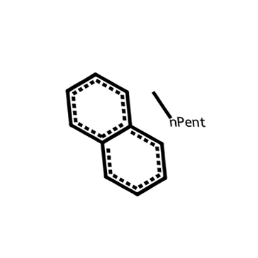 CCCCCC.c1ccc2ccccc2c1